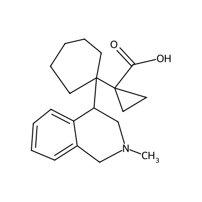 CN1Cc2ccccc2C(C2(C3(C(=O)O)CC3)CCCCC2)C1